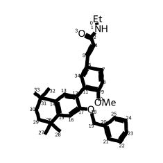 CCNC(=O)/C=C/c1ccc(OC)c(-c2cc3c(cc2OCc2ccccc2)C(C)(C)CCC3(C)C)c1